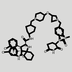 Cn1c(=O)n(C2CCC(=O)NC2=O)c2ccc(CN3CC(OC4CCN(CC5CCC(NC(=O)[C@H]6NC7(CCCCC7)[C@@]7(C(=O)Nc8cc(Cl)ccc87)[C@H]6c6cccc(Cl)c6F)CC5)CC4)C3)cc21